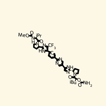 CCC(C)[C@H](OC(N)=O)C(=O)N1CCC[C@H]1c1ncc(-c2cnc(-c3ccc(-c4[nH]c(C5CCCN5C(=O)[C@@H](NC(=O)OC)C(C)C)nc4C(F)(F)F)cc3)nc2)[nH]1